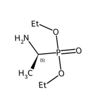 CCOP(=O)(OCC)[C@@H](C)N